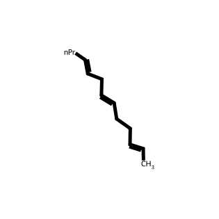 CC=CCCC=CCC=CCCC